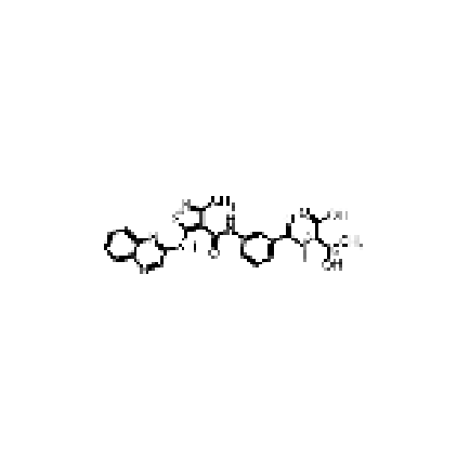 Cc1nsc(Nc2cnc3ccccc3n2)c1C(=O)Nc1cccc(C(=O)N[C@H](C(=O)O)[C@@H](C)O)c1